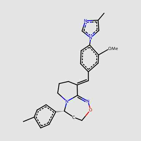 COc1cc(/C=C2\CCCN3C2=NOCC[C@@H]3c2ccc(C)cc2)ccc1-n1cnc(C)c1